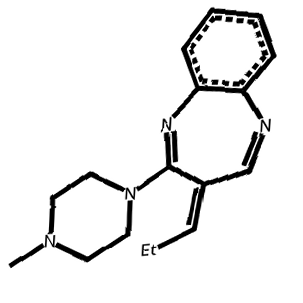 CCC=C1C=Nc2ccccc2N=C1N1CCN(C)CC1